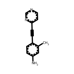 Cc1cc(N)ccc1C#Cc1ccncn1